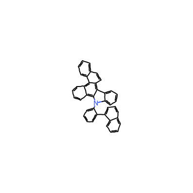 c1ccc(-n2c3ccccc3c3c4ccc5ccccc5c4c4ccccc4c32)c(-c2cccc3ccccc23)c1